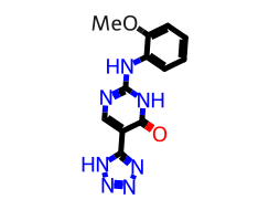 COc1ccccc1Nc1ncc(-c2nnn[nH]2)c(=O)[nH]1